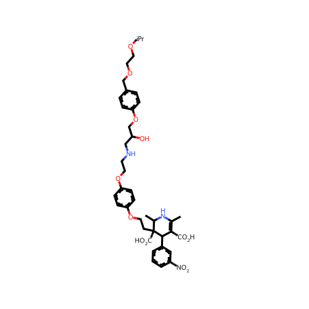 CC1=C(C(=O)O)C(c2cccc([N+](=O)[O-])c2)C(CCOc2ccc(OCCNCC(O)COc3ccc(COCCOC(C)C)cc3)cc2)(C(=O)O)C(C)N1